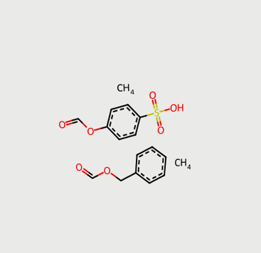 C.C.O=COCc1ccccc1.O=COc1ccc(S(=O)(=O)O)cc1